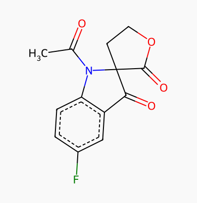 CC(=O)N1c2ccc(F)cc2C(=O)C12CCOC2=O